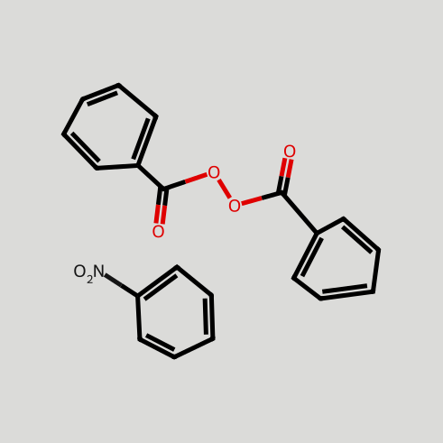 O=C(OOC(=O)c1ccccc1)c1ccccc1.O=[N+]([O-])c1ccccc1